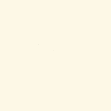 C=CCCC=NCCCCCCC